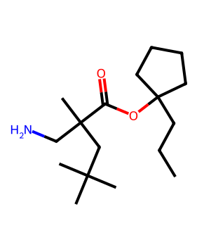 CCCC1(OC(=O)C(C)(CN)CC(C)(C)C)CCCC1